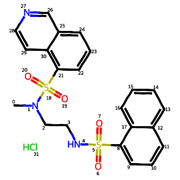 CN(CCNS(=O)(=O)c1cccc2ccccc12)S(=O)(=O)c1cccc2cnccc12.Cl